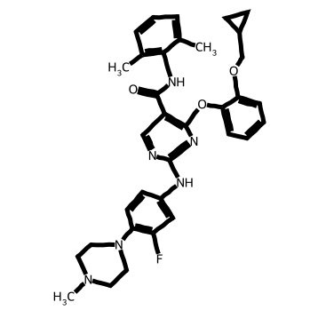 Cc1cccc(C)c1NC(=O)c1cnc(Nc2ccc(N3CCN(C)CC3)c(F)c2)nc1Oc1ccccc1OCC1CC1